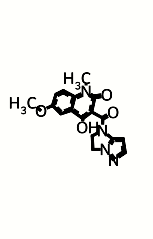 COc1ccc2c(c1)c(O)c(C(=O)N1CCn3nccc31)c(=O)n2C